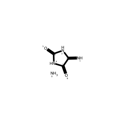 N.N=C1NC(=O)NC1=O